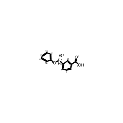 O=C(O)c1cccc([PH](=O)Oc2ccccc2)c1